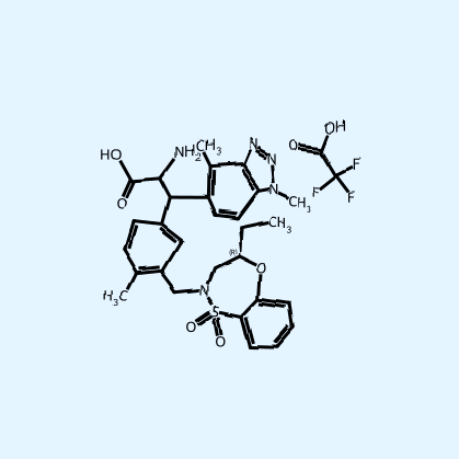 CC[C@@H]1CN(Cc2cc(C(c3ccc4c(nnn4C)c3C)C(N)C(=O)O)ccc2C)S(=O)(=O)c2ccccc2O1.O=C(O)C(F)(F)F